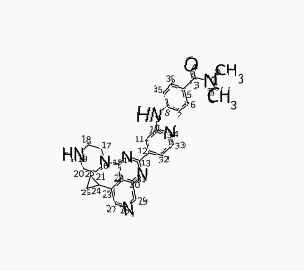 CN(C)C(=O)c1ccc(Nc2cc(-c3nc(N4CCNCC4)c4c(C5CC5)cncc4n3)ccn2)cc1